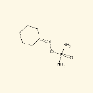 NP(N)(=O)ON=C1CCCCC1